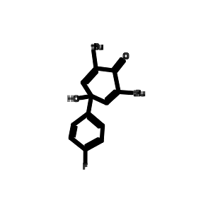 CC(C)(C)C1=CC(O)(c2ccc(F)cc2)C=C(C(C)(C)C)C1=O